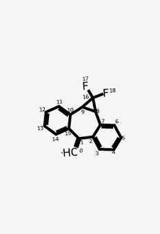 [CH]=C1c2ccccc2C2C(c3ccccc31)C2(F)F